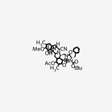 COc1c(C)cc2c(c1O)[C@H]1C3Cc4c(OC(C)=O)c(C)c5c(c4[C@H](CNC(=O)[C@H](Cc4ccccc4)NC(=O)OC(C)(C)C)N3[C@@H](C#N)[C@@H](C2)N1C)OCO5